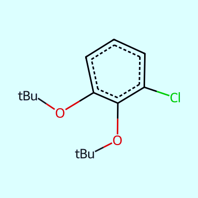 CC(C)(C)Oc1cccc(Cl)c1OC(C)(C)C